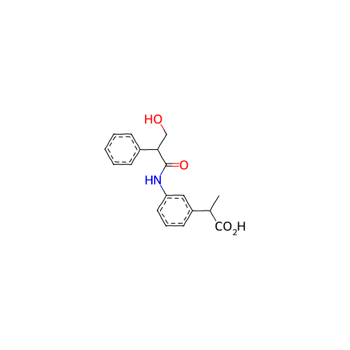 CC(C(=O)O)c1cccc(NC(=O)C(CO)c2ccccc2)c1